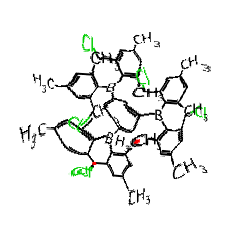 Cc1cc(C)c(B(c2cc(B(c3c(C)cc(C)cc3CCl)c3c(C)cc(C)cc3CCl)cc(B(c3c(C)cc(C)cc3CCl)c3c(C)cc(C)cc3CCl)c2)c2c(C)cc(C)cc2CCl)c(CCl)c1